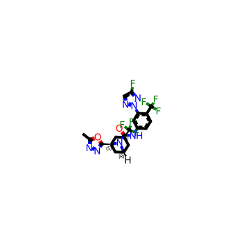 Cc1nnc([C@@]23C[C@@H](C[C@H](C(F)(F)F)C2)N3C(=O)Nc2ccc(C(F)(F)F)c(-n3ncc(F)n3)c2)o1